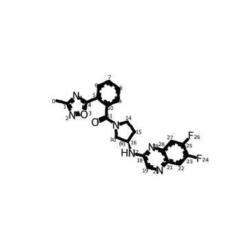 Cc1noc(-c2ccccc2C(=O)N2CC[C@@H](Nc3cnc4cc(F)c(F)cc4n3)C2)n1